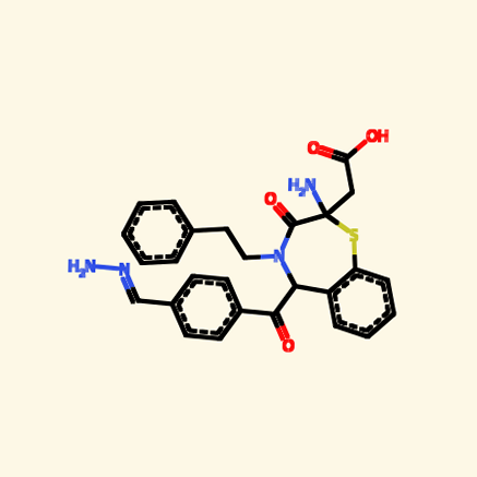 NN=Cc1ccc(C(=O)C2c3ccccc3SC(N)(CC(=O)O)C(=O)N2CCc2ccccc2)cc1